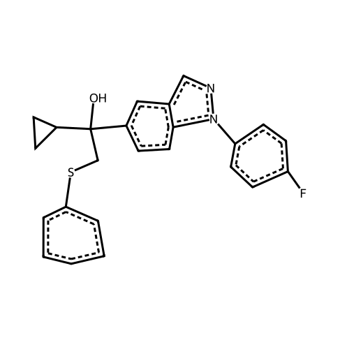 OC(CSc1ccccc1)(c1ccc2c(cnn2-c2ccc(F)cc2)c1)C1CC1